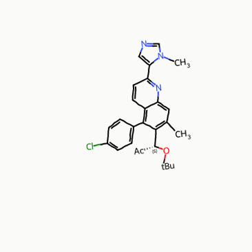 CC(=O)[C@@H](OC(C)(C)C)c1c(C)cc2nc(-c3cncn3C)ccc2c1-c1ccc(Cl)cc1